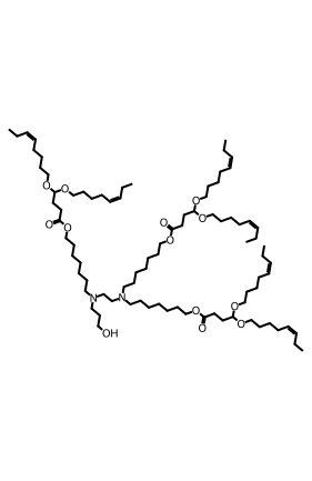 CC/C=C\CCCCOC(CCC(=O)OCCCCCCCN(CCCO)CCN(CCCCCCCOC(=O)CCC(OCCCC/C=C\CC)OCCCC/C=C\CC)CCCCCCCOC(=O)CCC(OCCCC/C=C\CC)OCCCC/C=C\CC)OCCCC/C=C\CC